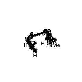 CN[C@@H](C)C(=O)N[C@H](C(=O)N1CCC[C@H]1c1nc(C(=O)c2cccc(OCCCCCCCCC(=O)N3CCN(C(=O)c4ccc(Nc5nc(C6CC6)cn6c(-c7cn[nH]c7)cnc56)c(F)c4)CC3)c2)cs1)C1CCCCC1